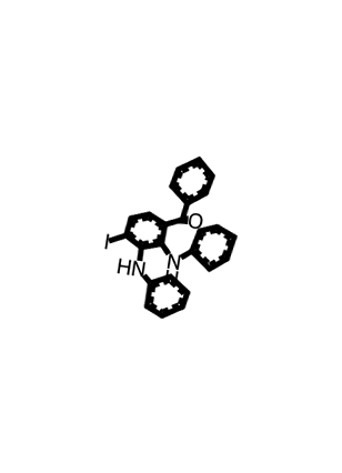 O=C(c1ccccc1)c1ccc(I)c(Nc2ccccc2)c1Nc1ccccc1